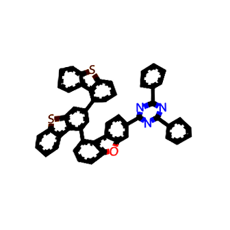 c1ccc(-c2nc(-c3ccccc3)nc(-c3ccc4c(c3)oc3cccc(-c5cc(-c6cccc7sc8ccccc8c67)cc6sc7ccccc7c56)c34)n2)cc1